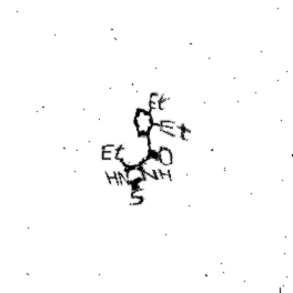 CCc1cccc(C(=O)c2[nH]c(=S)[nH]c2CC)c1CC